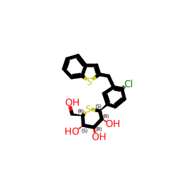 OC[C@H]1S[C@@H](c2ccc(Cl)c(Cc3cc4ccccc4s3)c2)[C@H](O)[C@@H](O)[C@@H]1O